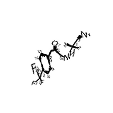 [CH2]C(C)(C#N)NC(=O)c1ccc(C(F)(F)F)cc1